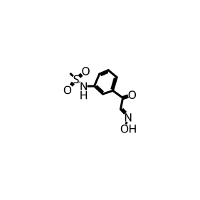 CS(=O)(=O)Nc1cccc(C(=O)C=NO)c1